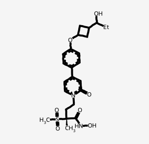 CCC(O)C1CC(Oc2ccc(-c3ccn(CC[C@](C)(C(=O)NO)S(C)(=O)=O)c(=O)c3)cc2)C1